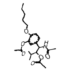 CCCCCOc1ccc(C(NC(C)=O)C(OC(C)=O)C(C)C)cc1OC(C)=O